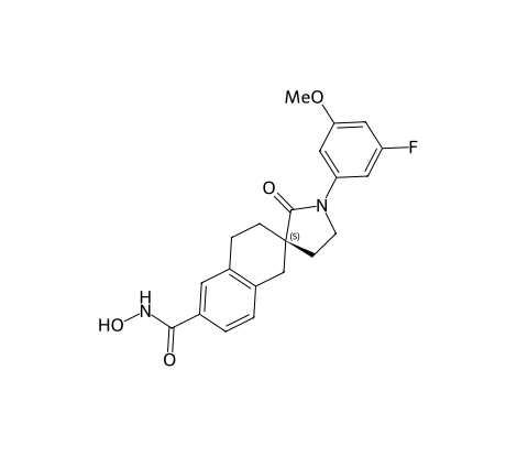 COc1cc(F)cc(N2CC[C@@]3(CCc4cc(C(=O)NO)ccc4C3)C2=O)c1